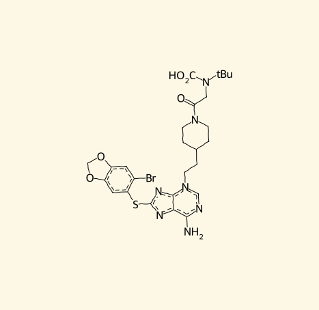 CC(C)(C)N(CC(=O)N1CCC(CCn2cnc(N)c3nc(Sc4cc5c(cc4Br)OCO5)nc2-3)CC1)C(=O)O